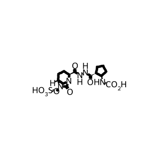 O=C(O)N[C@@H]1CCC[C@H]1C(=O)NNC(=O)[C@@H]1CC[C@@H]2CN1C(=O)N2OS(=O)(=O)O